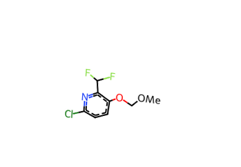 COCOc1ccc(Cl)nc1C(F)F